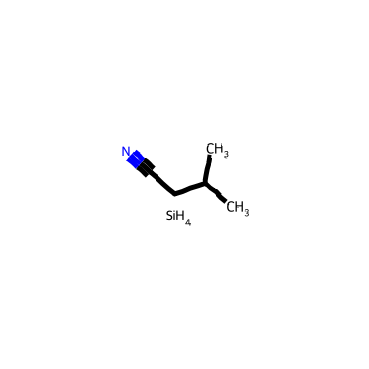 C[C](C)CC#N.[SiH4]